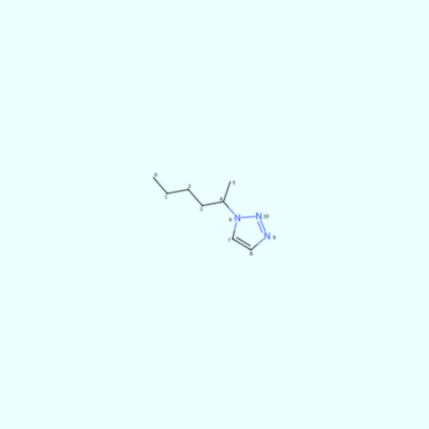 CCCCC(C)n1ccnn1